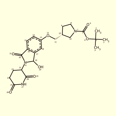 CC(C)(C)OC(=O)N1CC[C@@H](COc2ccc3c(c2)C(O)N(C2CCC(=O)NC2=O)C3=O)C1